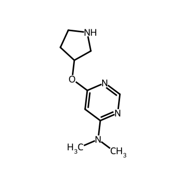 CN(C)c1cc(OC2CCNC2)ncn1